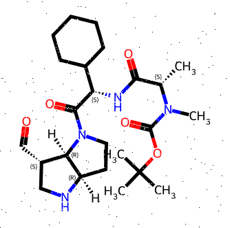 C[C@@H](C(=O)N[C@H](C(=O)N1CC[C@H]2NC[C@H](C=O)[C@H]21)C1CCCCC1)N(C)C(=O)OC(C)(C)C